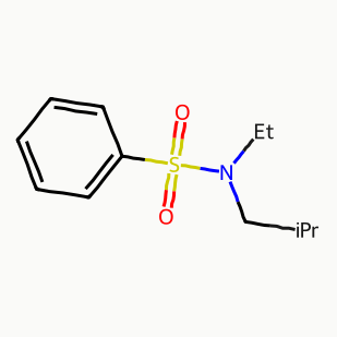 [CH2]CN(CC(C)C)S(=O)(=O)c1ccccc1